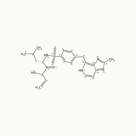 C=CC(O)C(=O)[C@H](CC(C)C)NS(=O)(=O)c1ccc(Cc2[nH]ccc3nc(C)nc2-3)cc1